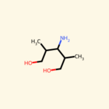 CC(CO)C(N)C(C)CO